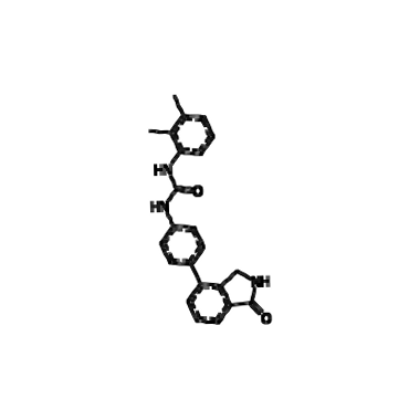 Cc1cccc(NC(=O)Nc2ccc(-c3cccc4c3CNC4=O)cc2)c1C